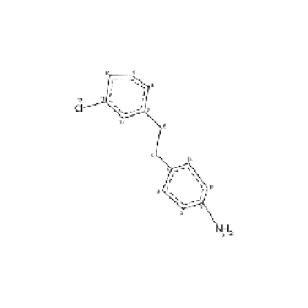 Nc1ccc(CCc2cccc(Cl)c2)cc1